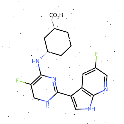 O=C(O)[C@@H]1CCC[C@H](NC2=C(F)CNC(c3c[nH]c4ncc(F)cc34)=N2)C1